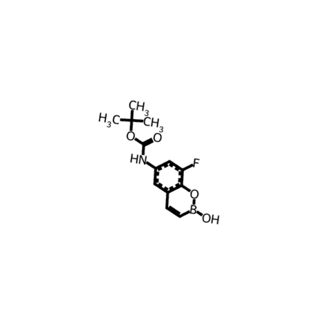 CC(C)(C)OC(=O)Nc1cc(F)c2c(c1)C=CB(O)O2